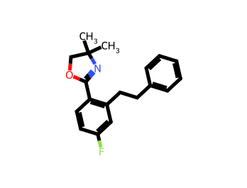 CC1(C)COC(c2ccc(F)cc2CCc2ccccc2)=N1